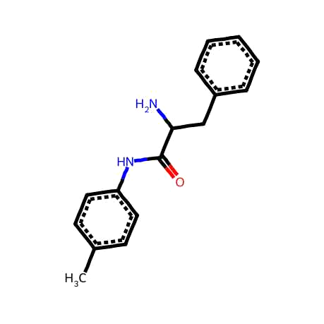 Cc1ccc(NC(=O)C(N)Cc2ccccc2)cc1